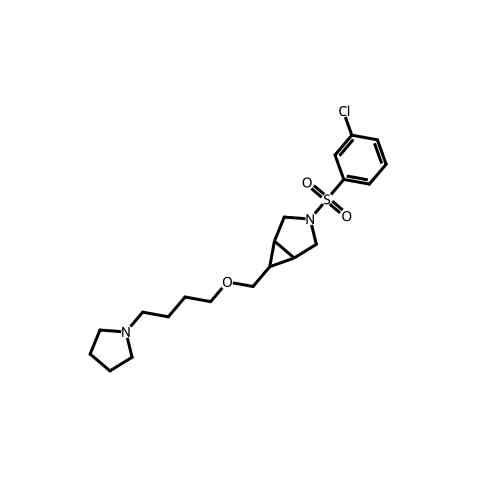 O=S(=O)(c1cccc(Cl)c1)N1CC2C(COCCCCN3CCCC3)C2C1